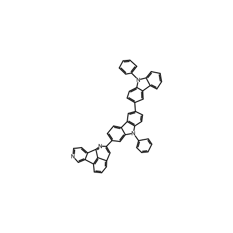 c1ccc(-n2c3ccccc3c3cc(-c4ccc5c(c4)c4ccc(-c6cc7cccc8c7c(n6)-c6ccncc6-8)cc4n5-c4ccccc4)ccc32)cc1